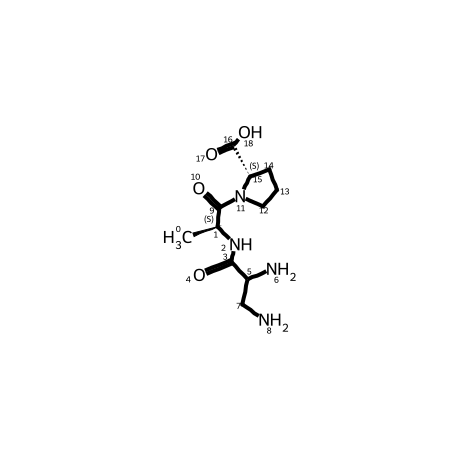 C[C@H](NC(=O)C(N)CN)C(=O)N1CCC[C@H]1C(=O)O